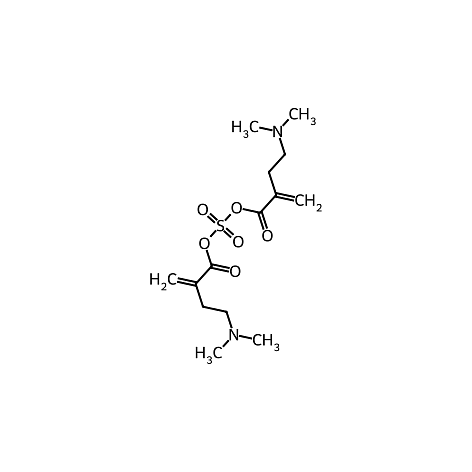 C=C(CCN(C)C)C(=O)OS(=O)(=O)OC(=O)C(=C)CCN(C)C